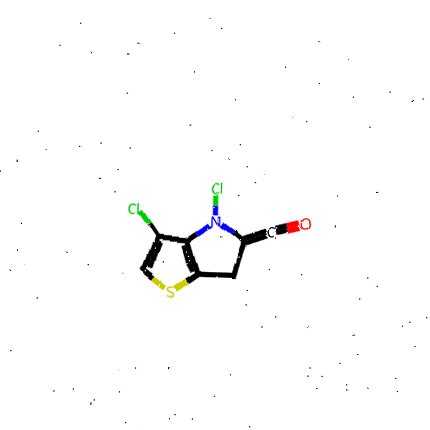 O=C=C1Cc2scc(Cl)c2N1Cl